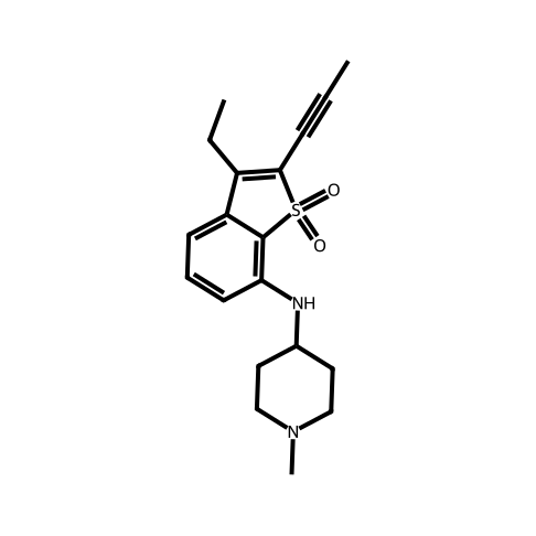 CC#CC1=C(CC)c2cccc(NC3CCN(C)CC3)c2S1(=O)=O